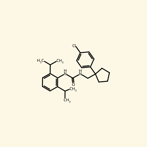 CC(C)c1cccc(C(C)C)c1NC(=O)NCC1(c2ccc(Cl)cc2)CCCC1